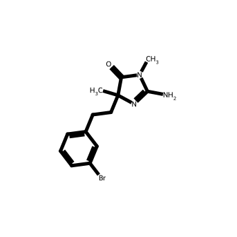 CN1C(=O)C(C)(CCc2cccc(Br)c2)N=C1N